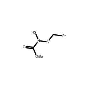 CC(C)COC(=O)N(S)SCC(C)C